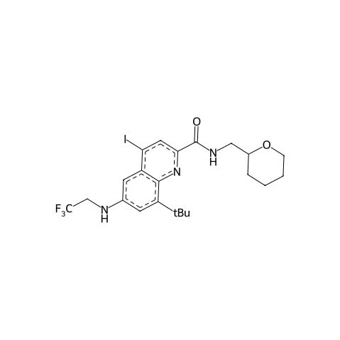 CC(C)(C)c1cc(NCC(F)(F)F)cc2c(I)cc(C(=O)NCC3CCCCO3)nc12